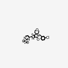 CS(=O)(=O)c1nccc(-c2nc3c(s2)C2(CCOCC2)N(Cc2cccc(Cl)c2)C3=O)n1